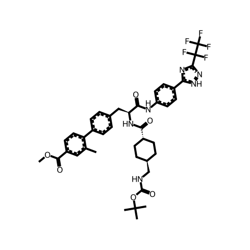 COC(=O)c1ccc(-c2ccc(C[C@H](NC(=O)[C@H]3CC[C@H](CNC(=O)OC(C)(C)C)CC3)C(=O)Nc3ccc(-c4nc(C(F)(F)C(F)(F)F)n[nH]4)cc3)cc2)c(C)c1